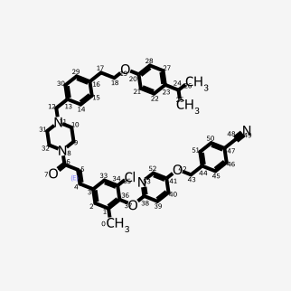 Cc1cc(/C=C/C(=O)N2CCN(Cc3ccc(CCOc4ccc(C(C)C)cc4)cc3)CC2)cc(Cl)c1Oc1ccc(OCc2ccc(C#N)cc2)cn1